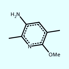 COc1nc(C)c(N)cc1C